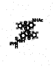 CC(=O)Nc1ccc(C=Cc2ccc(NC(=S)NC(C)C)cc2S(=O)(=O)N2CCCC2)c(S(=O)(=O)N2CCCC2)c1